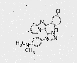 CN(C)c1ccc(-n2cnnc2-c2c(-c3cc(Cl)ccc3Cl)nc3ccccn23)cc1